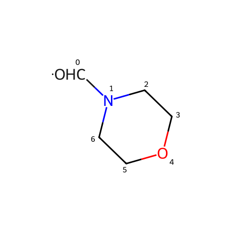 O=[C]N1CCOCC1